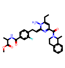 CCC1=CC(C(=O)N2CCc3ccccc3C2C)=N/C(=C/Cc2ccc(C(=O)NC(C)C(=O)OC)cc2F)N1N